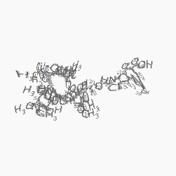 CC[C@H]1OC(=O)[C@H](C)[C@@H](O[C@H]2C[C@@](C)(OC)[C@@H](OC(=O)CCOCCNc3cc4c(=O)c(C(=O)O)cn(C5CC5)c4cc3Cl)[C@H](C)O2)[C@H](C)[C@@H](O[C@@H]2O[C@H](C)C[C@H](N(C)C)[C@H]2O)[C@](C)(O)C[C@@H](C)/C(=N\OC(C)C)[C@H](C)[C@@H](O)[C@]1(C)O